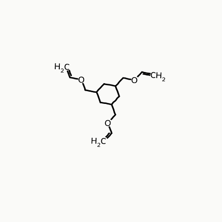 C=COCC1CC(COC=C)CC(COC=C)C1